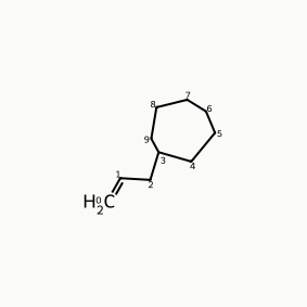 C=CCC1CCCCCC1